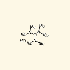 CC(C)(C)[N]([Ti]([N](C(C)(C)C)C(C)(C)C)[N](C(C)(C)C)C(C)(C)C)C(C)(C)C.Cl